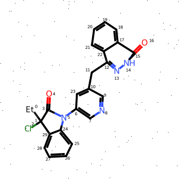 CCC1(Cl)C(=O)N(c2cncc(Cc3n[nH]c(=O)c4ccccc34)c2)c2ccccc21